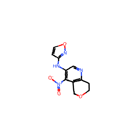 O=[N+]([O-])c1c(Nc2ccon2)cnc2c1COCC2